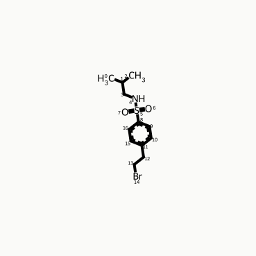 CC(C)CNS(=O)(=O)c1ccc(CCBr)cc1